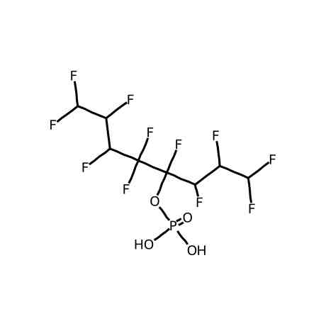 O=P(O)(O)OC(F)(C(F)C(F)C(F)F)C(F)(F)C(F)C(F)C(F)F